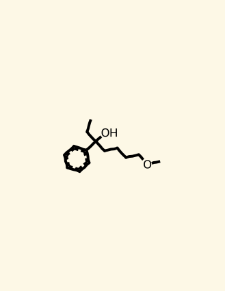 CCC(O)(CCCCOC)c1ccccc1